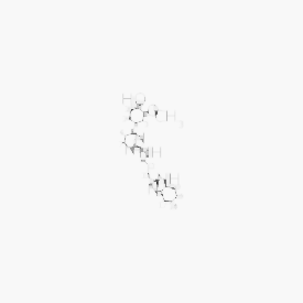 COc1cc(-c2ccnc(NCCCc3nc4ccccc4[nH]3)n2)ccc1O